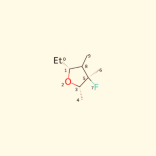 CC[C@H]1O[C@@H](C)[C@](C)(F)C1C